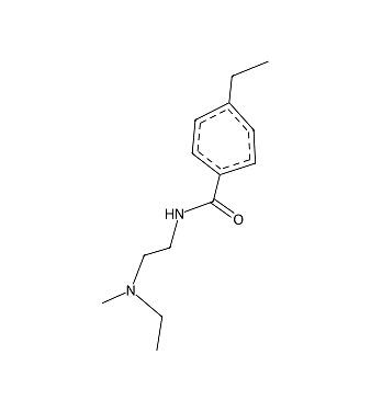 CCc1ccc(C(=O)NCCN(C)CC)cc1